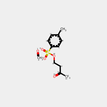 C=O.Cc1ccc(S(=O)(=O)OCCC(=O)C(F)(F)F)cc1